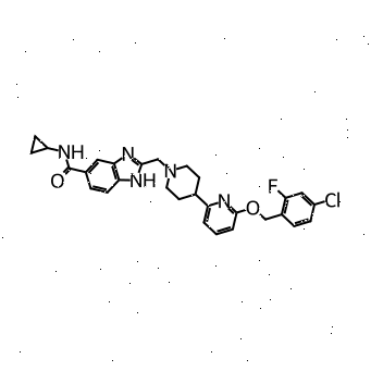 O=C(NC1CC1)c1ccc2[nH]c(CN3CCC(c4cccc(OCc5ccc(Cl)cc5F)n4)CC3)nc2c1